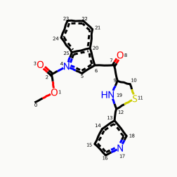 COC(=O)n1cc(C(=O)C2CSC(c3cccnc3)N2)c2ccccc21